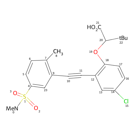 CNS(=O)(=O)c1ccc(C)c(C#Cc2cc(Cl)ccc2OC(C(=O)O)C(C)(C)C)c1